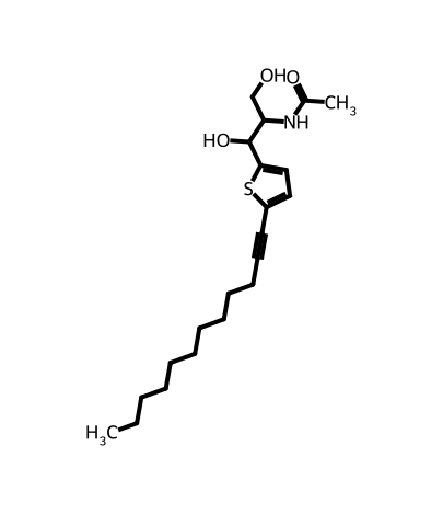 CCCCCCCCCCC#Cc1ccc(C(O)C(CO)NC(C)=O)s1